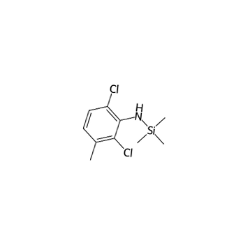 Cc1ccc(Cl)c(N[Si](C)(C)C)c1Cl